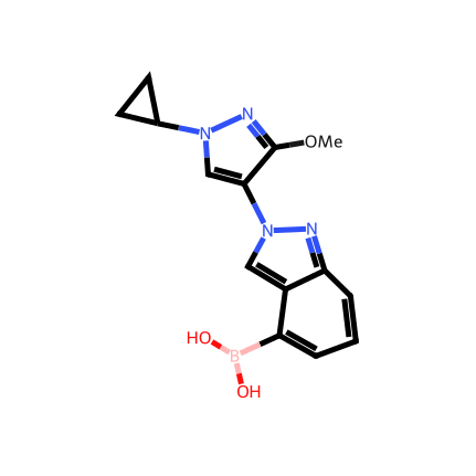 COc1nn(C2CC2)cc1-n1cc2c(B(O)O)cccc2n1